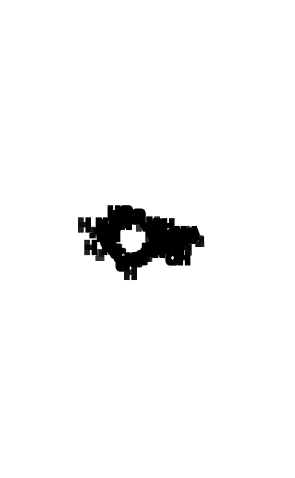 C[C@@H](O)[C@@H]1NC(=O)[C@H](CC(N)=O)NC(=O)C(N)CCC(=O)NCCCCC(C(=O)N[C@@H](CO)C(=O)N[C@@H](Cc2ccccc2)C(N)=O)NC(=O)[C@H](CO)NC1=O